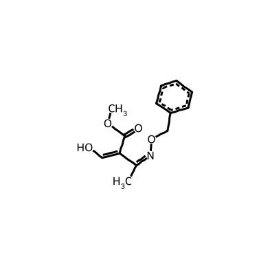 COC(=O)C(=CO)C(C)=NOCc1ccccc1